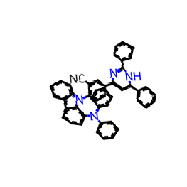 N#Cc1cc(C2=CC(c3ccccc3)NC(c3ccccc3)=N2)ccc1-n1c2ccccc2c2cccc(N(c3ccccc3)c3ccccc3)c21